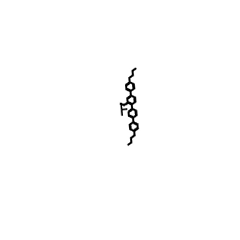 CCCCc1ccc(-c2ccc(-c3ccc(-c4ccc(CCCC)cc4)cc3CC)c(F)c2)cc1